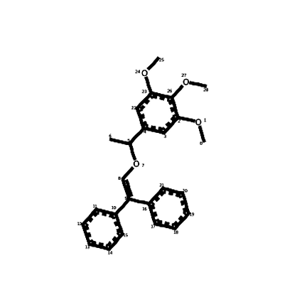 COc1cc(C(C)OC=C(c2ccccc2)c2ccccc2)cc(OC)c1OC